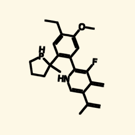 C=C(C)C1=CNC(c2cc(OC)c(CC)cc2C2(C)CCCP2)=C(F)C1=C